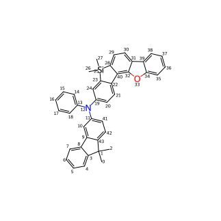 CC1(C)c2ccccc2-c2cc(N(c3ccccc3)c3ccc4c(c3)[Si](C)(C)c3ccc5c(oc6ccccc65)c3-4)ccc21